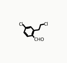 O=Cc1ccc(Cl)cc1CCCl